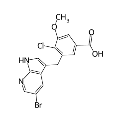 COc1cc(C(=O)O)cc(Cc2c[nH]c3ncc(Br)cc23)c1Cl